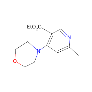 CCOC(=O)c1cnc(C)cc1N1CCOCC1